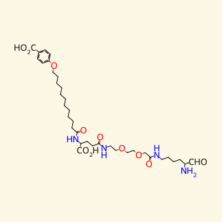 N[C@H](C=O)CCCCNC(=O)COCCOCCNC(=O)CCC(NC(=O)CCCCCCCCCCCOc1ccc(C(=O)O)cc1)C(=O)O